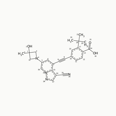 CC1(O)CN(c2cc(C#Cc3ccc(C(=O)O)c(C(C)(C)C)c3)c3c(C#N)cnn3c2)C1